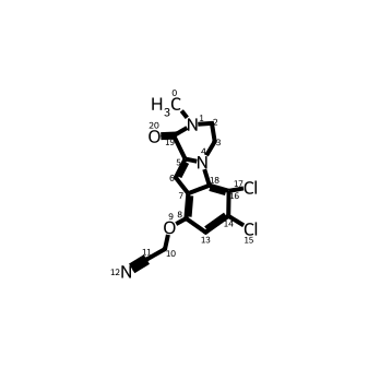 CN1CCn2c(cc3c(OCC#N)cc(Cl)c(Cl)c32)C1=O